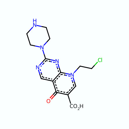 O=C(O)c1cn(CCCl)c2nc(N3CCNCC3)ncc2c1=O